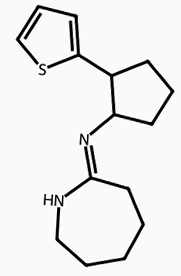 c1csc(C2CCCC2N=C2CCCCCN2)c1